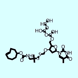 Cc1cn([C@H]2C[C@@H](OCSSC(C)(C)CNC(=O)OC3CC/C=C/CCC3)C(COP(O)OP(O)OPO)O2)c(=O)[nH]c1=O